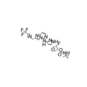 CC1(NC(=O)O[C@@H]2CO[C@H](c3cc(Nc4nccc5nc(CN6CC(C(F)(F)F)C6)cn45)n[nH]3)[C@H]2F)CC1